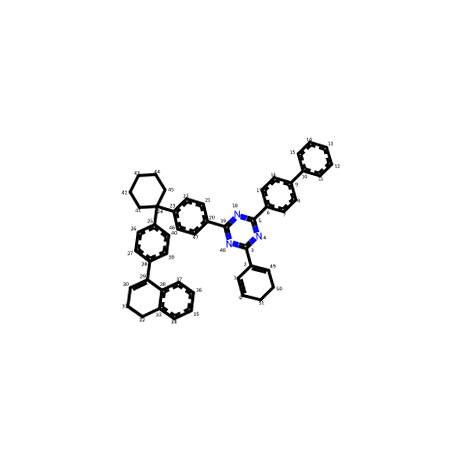 C1=CC(c2nc(-c3ccc(-c4ccccc4)cc3)nc(-c3ccc(C4(c5ccc(C6=CCCc7ccccc76)cc5)CCCCC4)cc3)n2)=CCC1